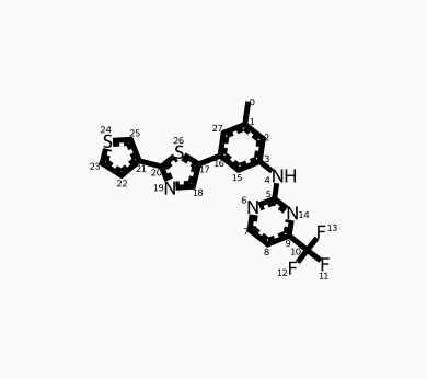 Cc1cc(Nc2nccc(C(F)(F)F)n2)cc(-c2cnc(-c3ccsc3)s2)c1